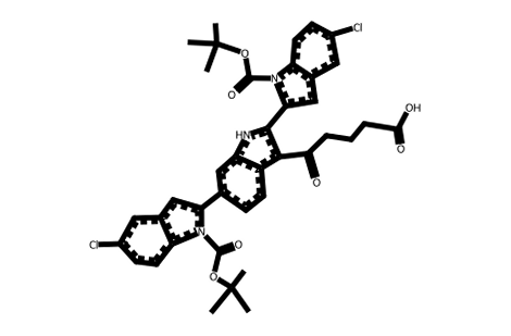 CC(C)(C)OC(=O)n1c(-c2ccc3c(C(=O)CCCC(=O)O)c(-c4cc5cc(Cl)ccc5n4C(=O)OC(C)(C)C)[nH]c3c2)cc2cc(Cl)ccc21